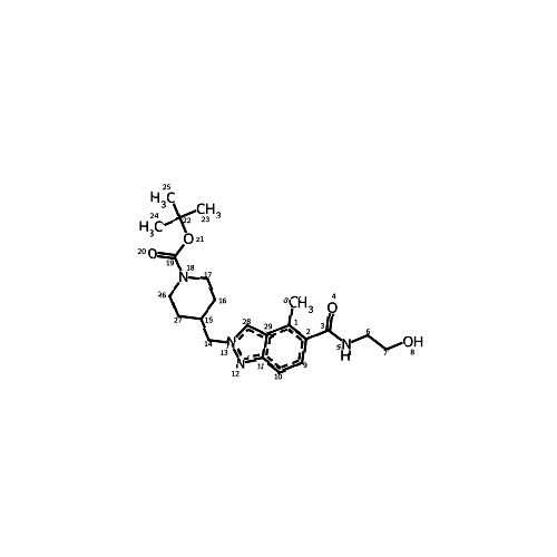 Cc1c(C(=O)NCCO)ccc2nn(CC3CCN(C(=O)OC(C)(C)C)CC3)cc12